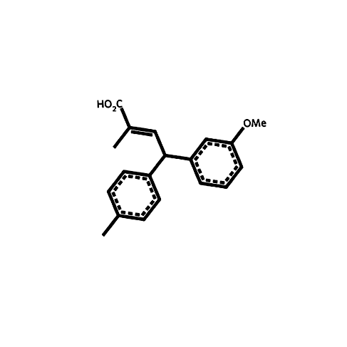 COc1cccc(C(C=C(C)C(=O)O)c2ccc(C)cc2)c1